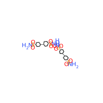 NS(=O)(=O)c1ccc(-c2ccc(S(=O)(=O)NONS(=O)(=O)c3ccc(-c4ccc(S(N)(=O)=O)cc4)cc3)cc2)cc1